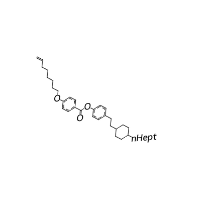 C=CCCCCCCOc1ccc(C(=O)Oc2ccc(CCC3CCC(CCCCCCC)CC3)cc2)cc1